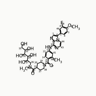 COc1ccc(-c2cnc3c(Nc4ccc(C(=O)N5CCC(C(=O)N(C)CC(O)C(O)C(O)C(O)CO)CC5)c(C)c4)nccn23)cc1F